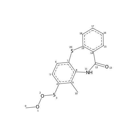 COOSc1ccc2c(c1C)NC(=O)c1ccccc1S2